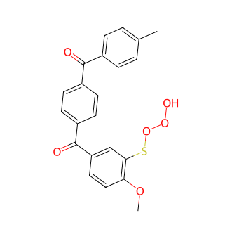 COc1ccc(C(=O)c2ccc(C(=O)c3ccc(C)cc3)cc2)cc1SOOO